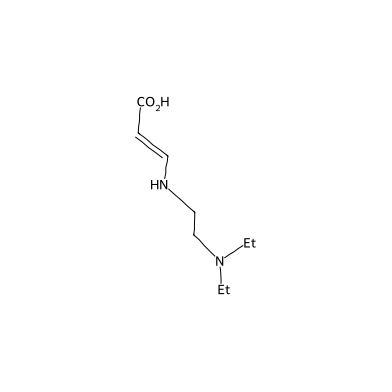 CCN(CC)CCNC=CC(=O)O